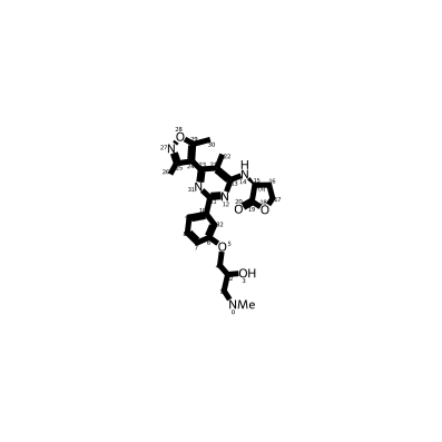 CNCC(O)COc1cccc(-c2nc(N[C@H]3CCOC3=O)c(C)c(-c3c(C)noc3C)n2)c1